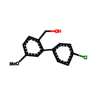 COc1ccc(CO)c(-c2ccc(Cl)cc2)c1